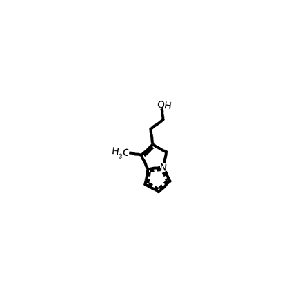 CC1=C(CCO)Cn2cccc21